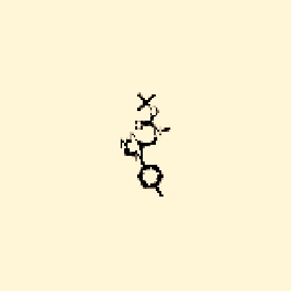 Cc1ccc(-n2cnnc2CN(C)C(=O)OC(C)(C)C)cc1